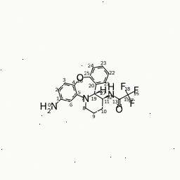 Nc1ccc2c(c1)N1CCC[C@H](NC(=O)C(F)(F)F)[C@H]1c1ccccc1O2